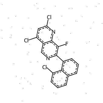 Fc1c(-c2cccc3cccc(Cl)c23)ncc2c(Cl)cc(Cl)nc12